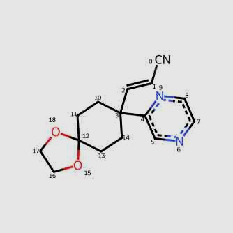 N#C/C=C/C1(c2cnccn2)CCC2(CC1)OCCO2